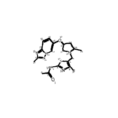 CC(=O)Nc1nc(F)c(CN2CC(Oc3ccc4nc(C)nn4c3)CC2C)s1